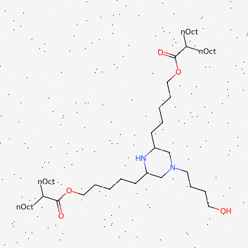 CCCCCCCCC(CCCCCCCC)C(=O)OCCCCCC1CN(CCCCO)CC(CCCCCOC(=O)C(CCCCCCCC)CCCCCCCC)N1